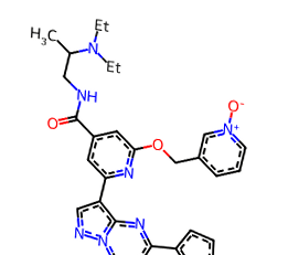 CCN(CC)C(C)CNC(=O)c1cc(OCc2ccc[n+]([O-])c2)nc(-c2cnn3ccc(-c4cccs4)nc23)c1